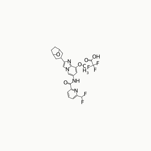 COc1cc(NC(=O)c2cccc(C(F)F)n2)cn2cc(C3CC4CCC(C3)O4)nc12.O=C(O)C(F)(F)F